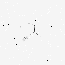 CCC(C)C#N.N.N